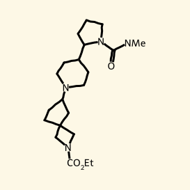 CCOC(=O)N1CC2(CCC(N3CCC(C4CCCN4C(=O)NC)CC3)C2)C1